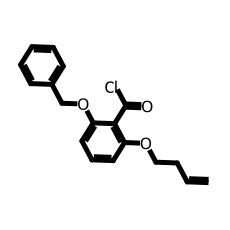 C=CCCOc1cccc(OCc2ccccc2)c1C(=O)Cl